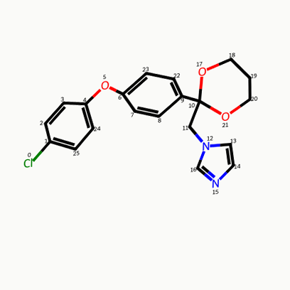 Clc1ccc(Oc2ccc(C3(Cn4ccnc4)OCCCO3)cc2)cc1